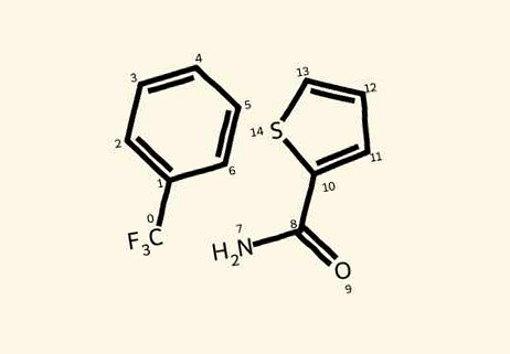 FC(F)(F)c1ccccc1.NC(=O)c1cccs1